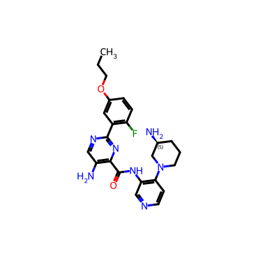 CCCOc1ccc(F)c(-c2ncc(N)c(C(=O)Nc3cnccc3N3CCC[C@H](N)C3)n2)c1